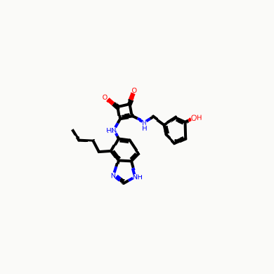 CCCCc1c(Nc2c(NCc3cccc(O)c3)c(=O)c2=O)ccc2[nH]cnc12